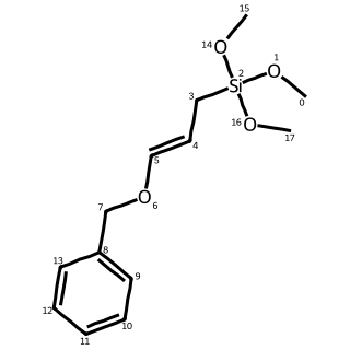 CO[Si](CC=COCc1ccccc1)(OC)OC